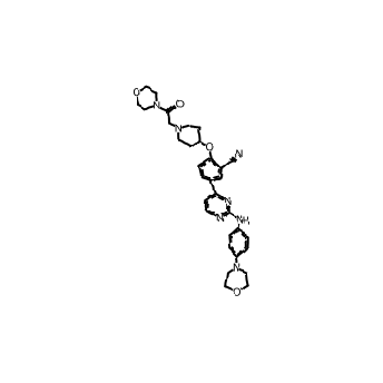 N#Cc1cc(-c2ccnc(Nc3ccc(N4CCOCC4)cc3)n2)ccc1OC1CCN(CC(=O)N2CCOCC2)CC1